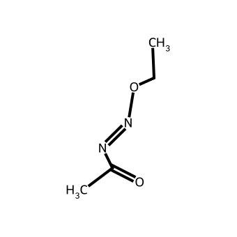 CCON=NC(C)=O